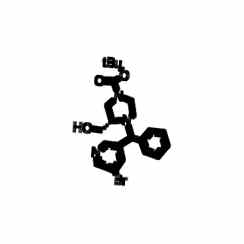 CC(C)(C)OC(=O)N1CCN(C(c2ccccc2)c2cncc(Br)c2)[C@H](CO)C1